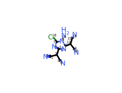 N#CC(C#N)C1=NC(Cl)N(N)C(C(C#N)C#N)=N1